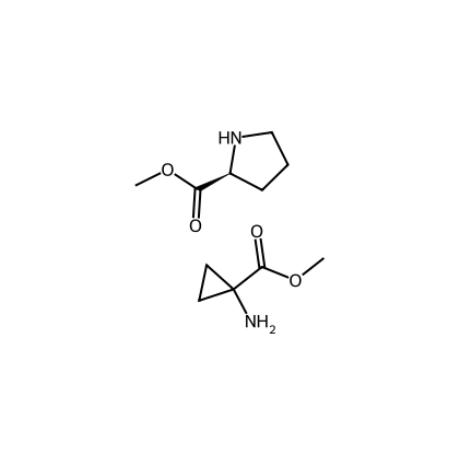 COC(=O)C1(N)CC1.COC(=O)[C@@H]1CCCN1